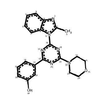 Cc1nc2ccccc2n1-c1nc(-c2cccc(O)c2)nc(N2CCOCC2)n1